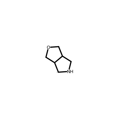 [CH]1NCC2COCC12